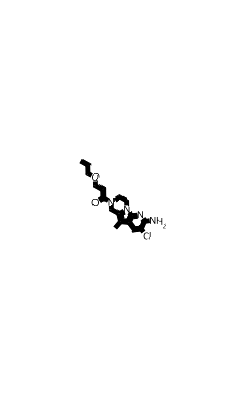 CCCOCCC(=O)N1CCn2c(c(C)c3cc(Cl)c(N)nc32)C1